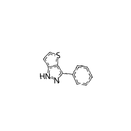 c1ccc(-c2n[nH]c3ccsc23)cc1